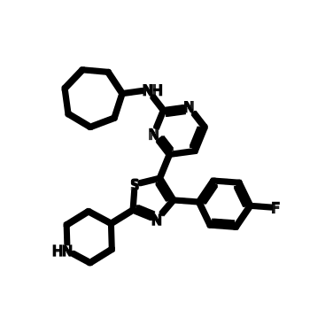 Fc1ccc(-c2nc(C3CCNCC3)sc2-c2ccnc(NC3CCCCCC3)n2)cc1